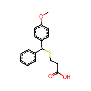 COc1ccc(C(SCCC(=O)O)c2ccccc2)cc1